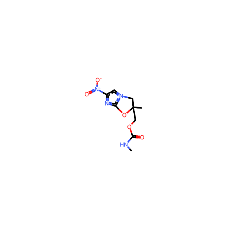 CNC(=O)OCC1(C)Cn2cc([N+](=O)[O-])nc2O1